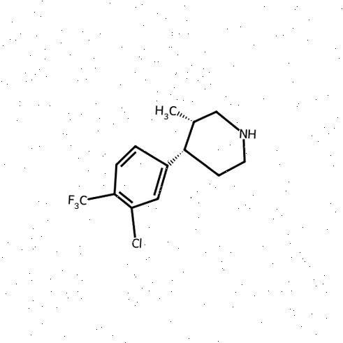 C[C@@H]1CNCC[C@@H]1c1ccc(C(F)(F)F)c(Cl)c1